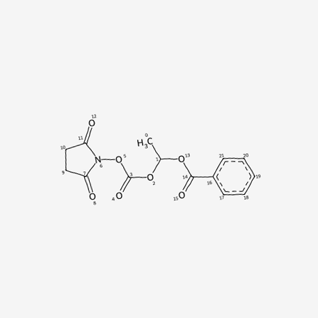 CC(OC(=O)ON1C(=O)CCC1=O)OC(=O)c1ccccc1